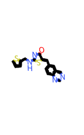 O=C1N=C(NCc2cccs2)S/C1=C\c1ccc2ncncc2c1